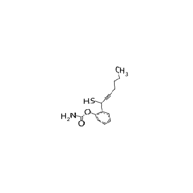 CCCCC#CC(S)c1ccccc1OC(N)=O